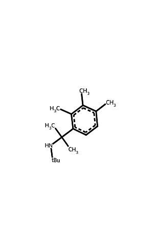 Cc1ccc(C(C)(C)NC(C)(C)C)c(C)c1C